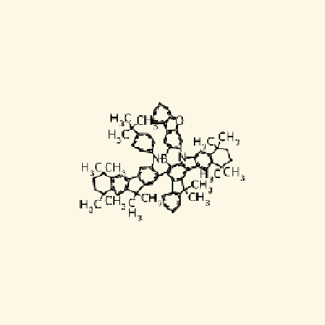 CC(C)(C)c1ccc(N2B3c4cc5c(cc4-n4c6cc7c(cc6c6c8c(c(c3c64)-c3cc4c(cc32)-c2cc3c(cc2C4(C)C)C(C)(C)CCC3(C)C)-c2ccccc2C8(C)C)C(C)(C)CCC7(C)C)oc2ccccc25)cc1